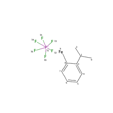 CC(C)c1cccc[c]1[Fe].F[P-](F)(F)(F)(F)F